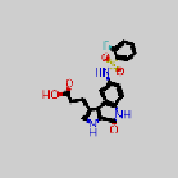 O=C(O)CCc1c[nH]c2c(=O)[nH]c3ccc(NS(=O)(=O)c4ccccc4F)cc3c12